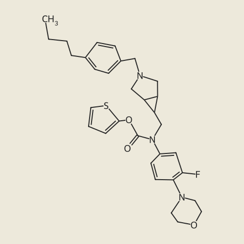 CCCCc1ccc(CN2CC3C(C2)C3CN(C(=O)Oc2cccs2)c2ccc(N3CCOCC3)c(F)c2)cc1